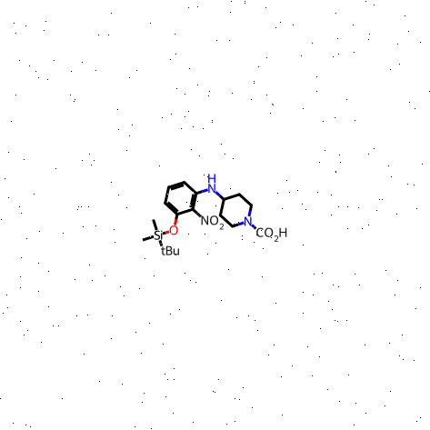 CC(C)(C)[Si](C)(C)Oc1cccc(NC2CCN(C(=O)O)CC2)c1[N+](=O)[O-]